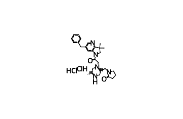 C[C@@H]1CN(CC(=O)N2CC(C)(C)c3ncc(Cc4ccccc4)cc32)[C@@H](CN2CCCC2=O)CN1.Cl.Cl